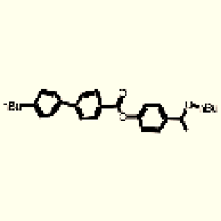 CCCCOC(C)c1ccc(OC(=O)c2ccc(-c3ccc(CCCC)cc3)cc2)cc1